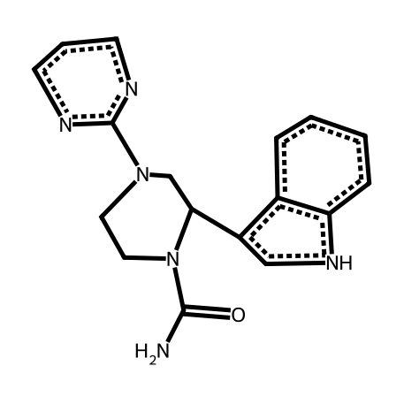 NC(=O)N1CCN(c2ncccn2)CC1c1c[nH]c2ccccc12